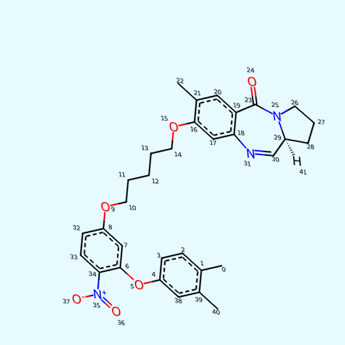 Cc1ccc(Oc2cc(OCCCCCOc3cc4c(cc3C)C(=O)N3CCC[C@H]3C=N4)ccc2[N+](=O)[O-])cc1C